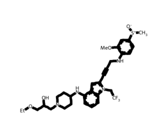 CCOCC(O)CN1CCC(Nc2cccc3c2cc(C#CCNc2ccc([S+](C)[O-])cc2OC)n3CC(F)(F)F)CC1